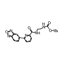 CC(C)(C)OC(=O)NCCNC(=O)c1cccc(-c2ccc3nonc3c2)n1